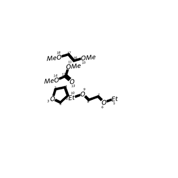 C1CCOC1.CCOCCOCC.COC(=O)OC.COCCOC